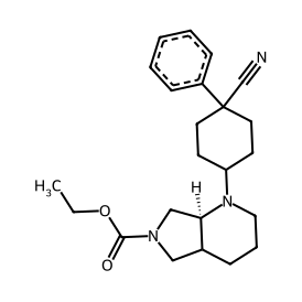 CCOC(=O)N1CC2CCCN(C3CCC(C#N)(c4ccccc4)CC3)[C@@H]2C1